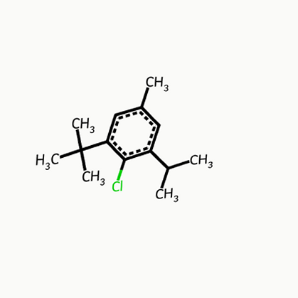 Cc1cc(C(C)C)c(Cl)c(C(C)(C)C)c1